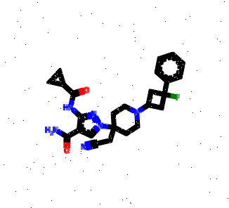 N#CCC1(n2cc(C(N)=O)c(NC(=O)C3CC3)n2)CCN(C2CC(F)(c3ccccc3)C2)CC1